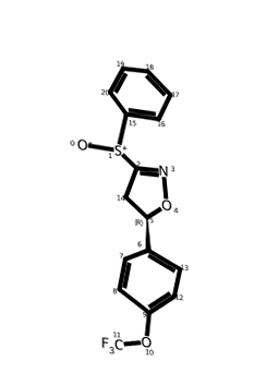 [O-][S+](C1=NO[C@@H](c2ccc(OC(F)(F)F)cc2)C1)c1ccccc1